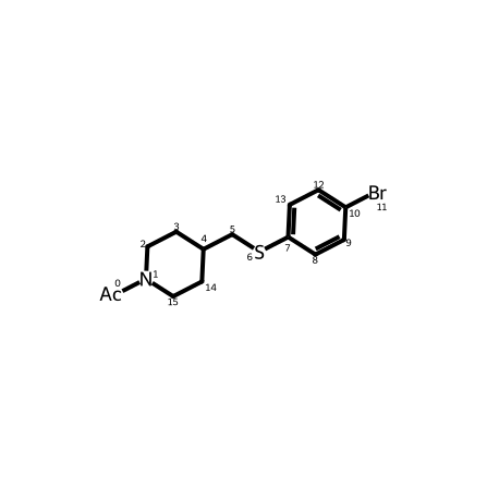 CC(=O)N1CCC(CSc2ccc(Br)cc2)CC1